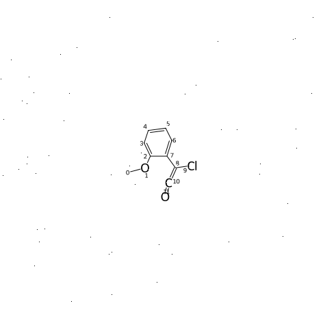 COc1ccccc1C(Cl)=C=O